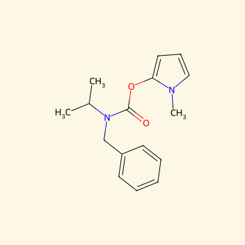 CC(C)N(Cc1ccccc1)C(=O)Oc1cccn1C